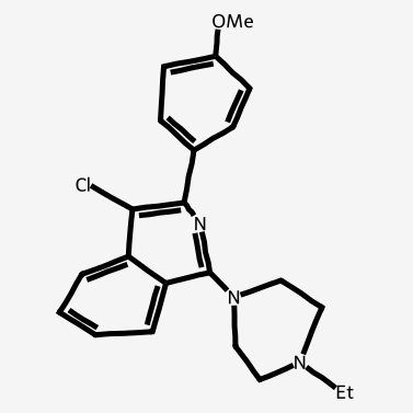 CCN1CCN(c2nc(-c3ccc(OC)cc3)c(Cl)c3ccccc23)CC1